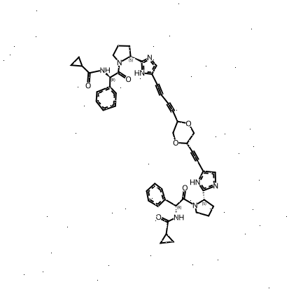 O=C(N[C@@H](C(=O)N1CCC[C@H]1c1ncc(C#CC#CC2COC(C#Cc3cnc([C@@H]4CCCN4C(=O)[C@H](NC(=O)C4CC4)c4ccccc4)[nH]3)CO2)[nH]1)c1ccccc1)C1CC1